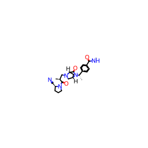 CNC(=O)c1ccc([C@H](C)N2C(=O)[C@@H]3C[C@H]2CN3C[C@H](C)C(=O)N2CCC[C@H]2C#N)cc1